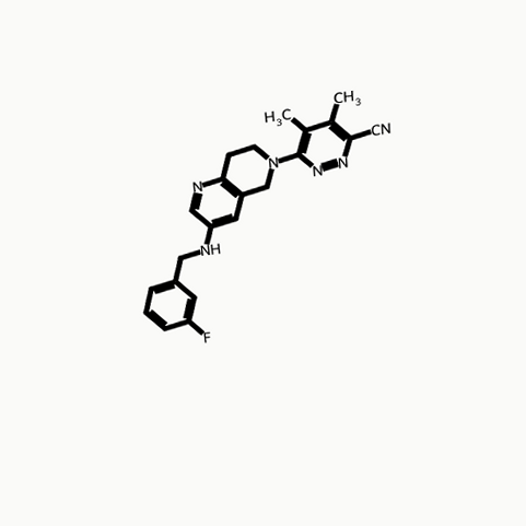 Cc1c(C#N)nnc(N2CCc3ncc(NCc4cccc(F)c4)cc3C2)c1C